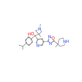 CC(C)c1ccc(C(O)(c2cncc(-c3noc(C4(C)CCNCC4)n3)c2)C2(C)CN(C)C2)cc1